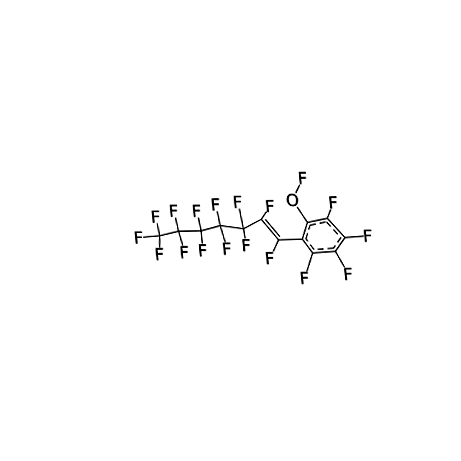 FOc1c(F)c(F)c(F)c(F)c1C(F)=C(F)C(F)(F)C(F)(F)C(F)(F)C(F)(F)C(F)(F)F